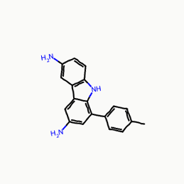 Cc1ccc(-c2cc(N)cc3c2[nH]c2ccc(N)cc23)cc1